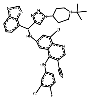 CC(C)(C)N1CCC(n2cc([C@@H](Nc3cc(Cl)c4ncc(C#N)c(Nc5ccc(F)c(Cl)c5)c4c3)c3cccc4ncsc34)nn2)CC1